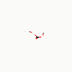 CCCCCOC(=O)OCCCCC